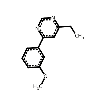 CCc1cc(-c2cccc(OC)c2)ncn1